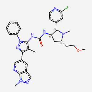 COCC[C@@H]1C[C@@H](NC(=O)Nc2c(C)c(-c3cnc4c(cnn4C)c3)nn2-c2ccccc2)[C@H](c2ccnc(F)c2)N1C